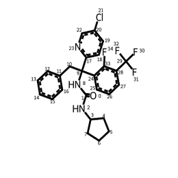 O=C(NC1CCCC1)NC(Cc1ccccc1)(c1ccc(Cl)cn1)c1cccc(C(F)(F)F)c1F